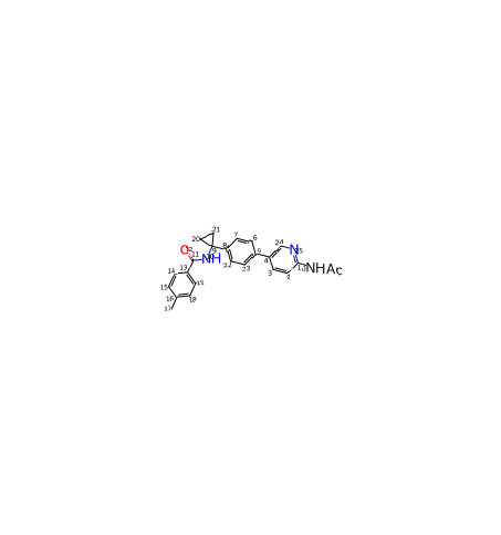 CC(=O)Nc1ccc(-c2ccc(C3(NC(=O)c4ccc(C)cc4)CC3)cc2)cn1